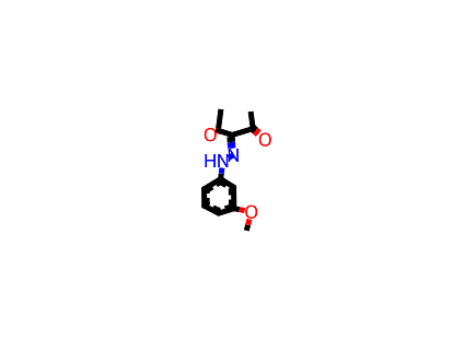 COc1cccc(NN=C(C(C)=O)C(C)=O)c1